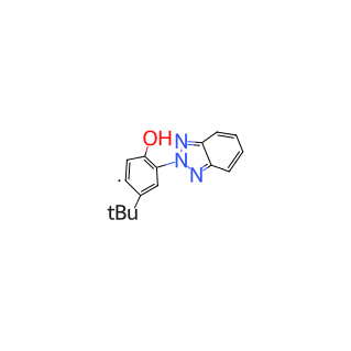 CC(C)(C)c1[c]cc(O)c(-n2nc3ccccc3n2)c1